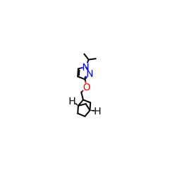 CC(C)n1ccc(OCC2C[C@@H]3CC[C@H]2C3)n1